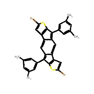 Cc1cc(C)cc(C2=c3cc4c(cc3-c3cc(Br)sc32)=C(c2cc(C)cc(C(F)(F)F)c2)c2sc(Br)cc2-4)c1